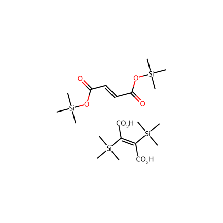 C[Si](C)(C)/C(C(=O)O)=C(\C(=O)O)[Si](C)(C)C.C[Si](C)(C)OC(=O)/C=C/C(=O)O[Si](C)(C)C